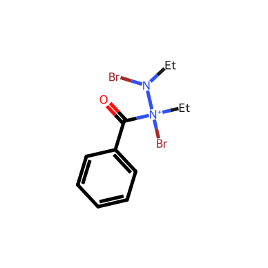 CCN(Br)[N+](Br)(CC)C(=O)c1ccccc1